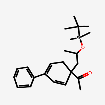 CC(=O)C1(CC(C)O[Si](C)(C)C(C)(C)C)C=CC(c2ccccc2)=CC1